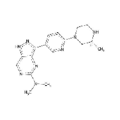 C[C@@H]1CN(c2ccc(-c3n[nH]c4cnc(N(C)C)nc34)cn2)CCN1